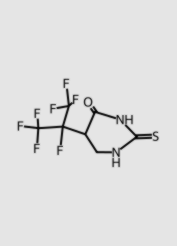 O=C1NC(=S)NCC1C(F)(C(F)(F)F)C(F)(F)F